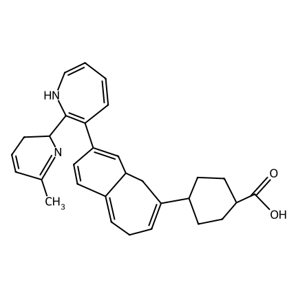 CC1=NC(C2=C(C3=CC4CC(C5CCC(C(=O)O)CC5)=CCC=C4C=C3)C=CC=CN2)CC=C1